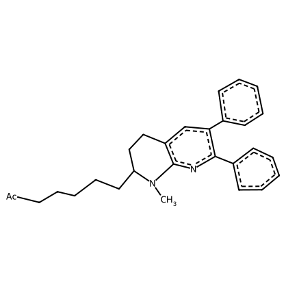 CC(=O)CCCCCC1CCc2cc(-c3ccccc3)c(-c3ccccc3)nc2N1C